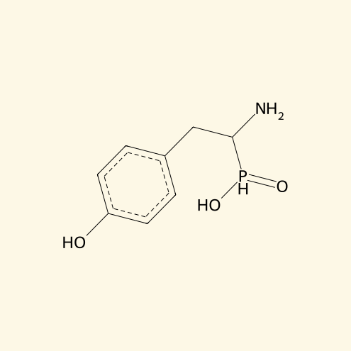 NC(Cc1ccc(O)cc1)[PH](=O)O